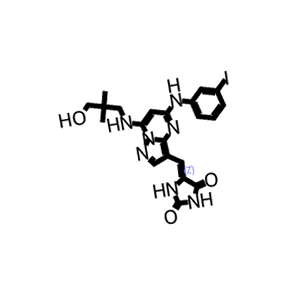 CC(C)(CO)CNc1cc(Nc2cccc(I)c2)nc2c(/C=C3\NC(=O)NC3=O)cnn12